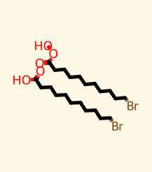 O=C(CCCCCCCCCCBr)OO.O=C(O)CCCCCCCCCCBr